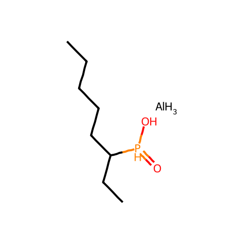 CCCCCC(CC)[PH](=O)O.[AlH3]